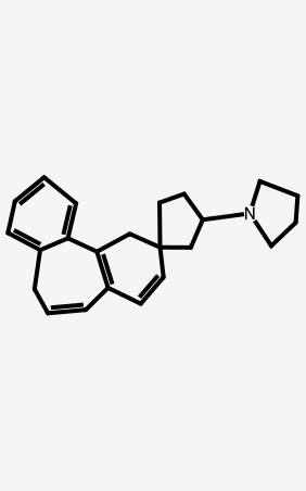 C1=CC2=C(CC3(C=C2)CCC(N2CCCC2)C3)c2ccccc2C1